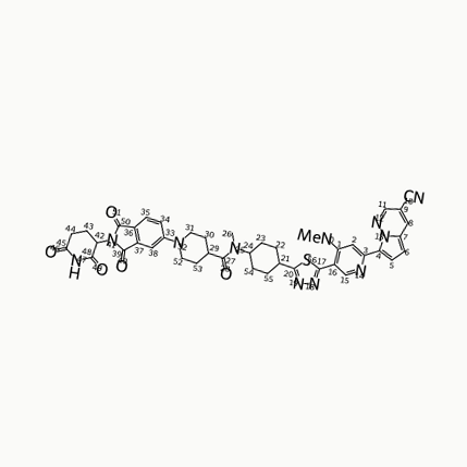 CNc1cc(-c2ccc3cc(C#N)cnn23)ncc1-c1nnc(C2CCC(N(C)C(=O)C3CCN(c4ccc5c(c4)C(=O)N(C4CCC(=O)NC4=O)C5=O)CC3)CC2)s1